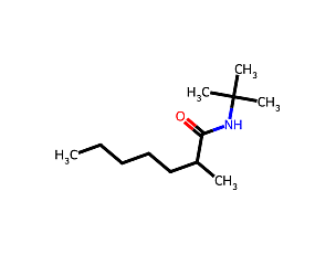 CCCCCC(C)C(=O)NC(C)(C)C